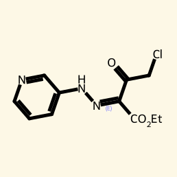 CCOC(=O)/C(=N/Nc1cccnc1)C(=O)CCl